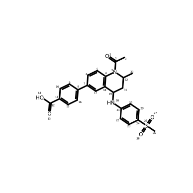 CC(=O)N1c2ccc(-c3ccc(C(=O)O)cc3)cc2C(Nc2ccc(S(C)(=O)=O)cc2)CC1C